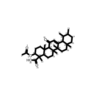 CC(=O)OC1CCC2(C)C(CCC3(C)C2C(=O)C=C2C4C(C)C(C)CCC4(C)CCC23C)C1(C)C(=O)O